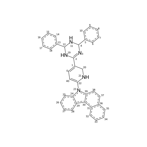 C1=C(C2=NC(c3ccccc3)NC(c3ccccc3)N2)CNC(n2c3ccccc3c3c4ccccc4ccc32)=C1